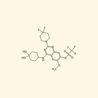 COc1cc2c(NC3CCS(O)(O)CC3)nc(N3CCC(F)(F)CC3)nc2cc1OS(=O)(=O)C(F)(F)F